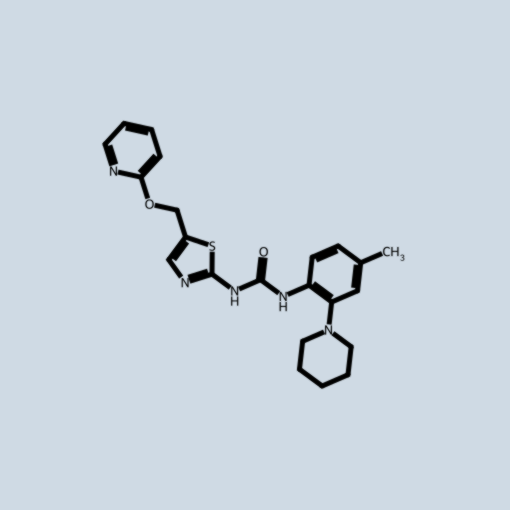 Cc1ccc(NC(=O)Nc2ncc(COc3ccccn3)s2)c(N2CCCCC2)c1